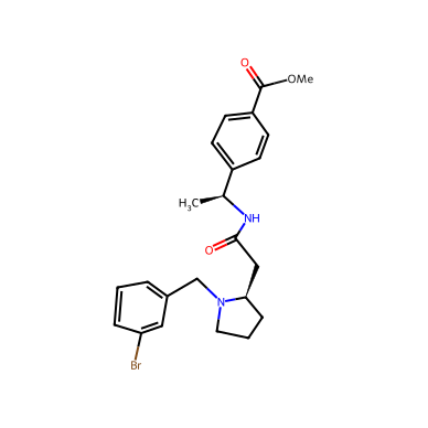 COC(=O)c1ccc([C@H](C)NC(=O)C[C@H]2CCCN2Cc2cccc(Br)c2)cc1